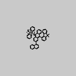 CC1(C)c2ccccc2-c2c(-c3c4ccccc4c(N4c5ccccc5[Si](C)(C)c5ccccc54)c4ccc(-c5cccc6ccccc56)cc34)cccc21